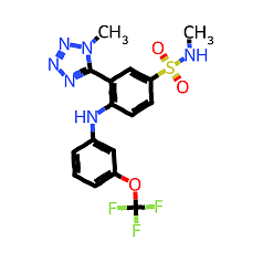 CNS(=O)(=O)c1ccc(Nc2cccc(OC(F)(F)F)c2)c(-c2nnnn2C)c1